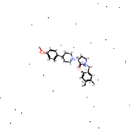 COc1ccc(C2CCN([C@@H]3CCN(Cc4ccc(C)c(C)c4)C3=O)CC2)cc1